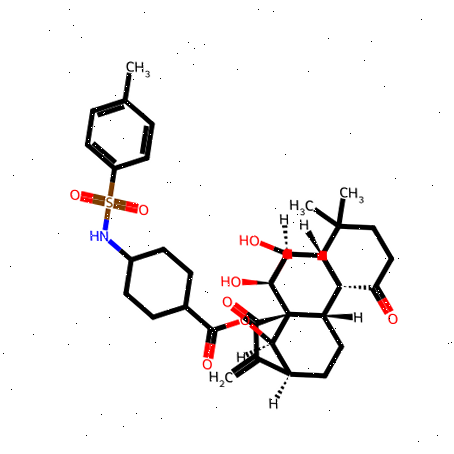 C=C1C(=O)[C@]23[C@H](OC(=O)C4CCC(NS(=O)(=O)c5ccc(C)cc5)CC4)[C@H]1CC[C@H]2[C@@]12CO[C@]3(O)[C@@H](O)[C@@H]1C(C)(C)CCC2=O